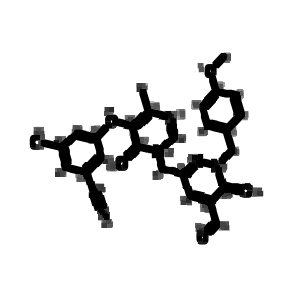 COc1ccc(Cn2nc(Cn3cnc(C)c(Oc4cc(Cl)cc(C#N)c4)c3=O)cc(C=O)c2=O)cc1